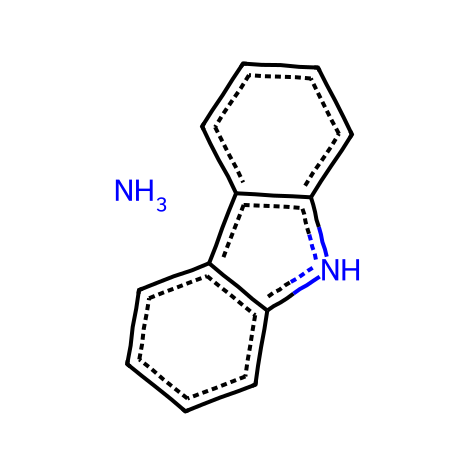 N.c1ccc2c(c1)[nH]c1ccccc12